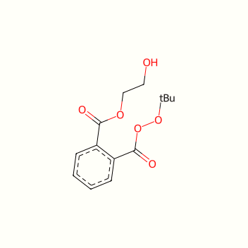 CC(C)(C)OOC(=O)c1ccccc1C(=O)OCCO